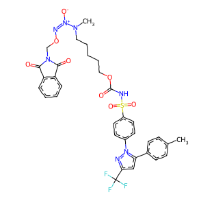 Cc1ccc(-c2cc(C(F)(F)F)nn2-c2ccc(S(=O)(=O)NC(=O)OCCCCCN(C)/[N+]([O-])=N\OCN3C(=O)c4ccccc4C3=O)cc2)cc1